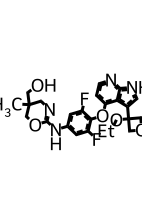 CCOC1(c2c[nH]c3nccc(Oc4c(F)cc(NC5=NCC(C)(CO)CO5)cc4F)c23)COC1